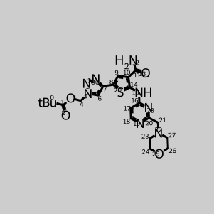 CC(C)(C)C(=O)OCn1cc(-c2cc(C(N)=O)c(Nc3ccnc(CN4CCOCC4)n3)s2)nn1